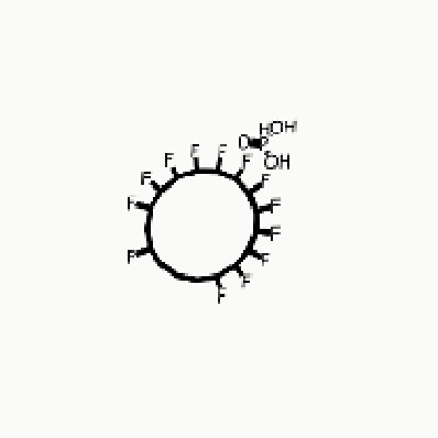 FC1CCCC(F)C(F)C(F)C(F)C(F)C(F)C(F)C(F)C(F)C(F)C(F)C(F)C1.O=[PH](O)O